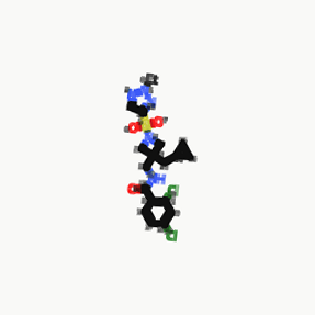 CCn1ncc(S(=O)(=O)N2CC(CNC(=O)c3ccc(Cl)cc3Cl)(CC3CC3)C2)n1